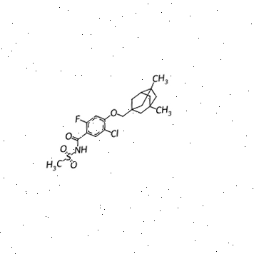 CC12CC3CC(COc4cc(F)c(C(=O)NS(C)(=O)=O)cc4Cl)(C1)CC3(C)C2